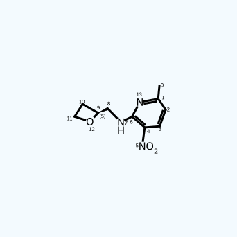 Cc1ccc([N+](=O)[O-])c(NC[C@@H]2CCO2)n1